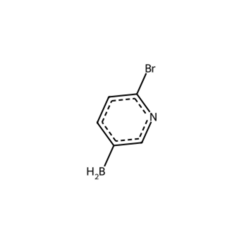 Bc1ccc(Br)nc1